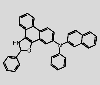 c1ccc(C2Nc3c(c4cc(N(c5ccccc5)c5ccc6ccccc6c5)ccc4c4ccccc34)O2)cc1